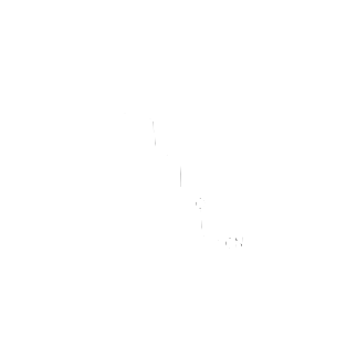 C=CCCCOCC#N